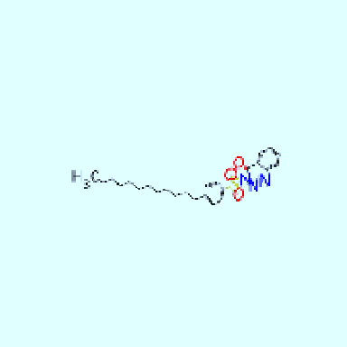 CCCCCCCCCCCCc1ccc(S(=O)(=O)n2nnc3ccccc3c2=O)cc1